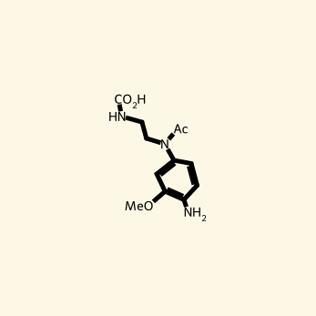 COc1cc(N(CCNC(=O)O)C(C)=O)ccc1N